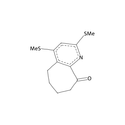 CSc1cc(SC)c2c(n1)C(=O)CCCC2